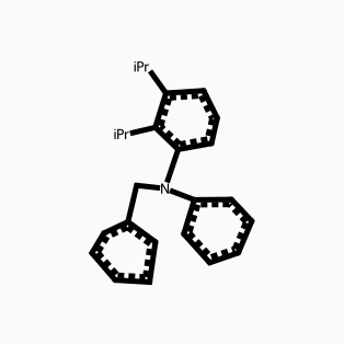 CC(C)c1cccc(N(Cc2ccccc2)c2ccccc2)c1C(C)C